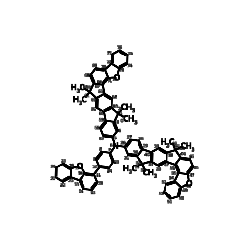 CC1(C)c2cc(N(c3ccc(-c4cccc5c4oc4ccccc45)cc3)c3ccc4c(c3)C(C)(C)c3cc5c(cc3-4)C(C)(C)c3ccc4oc6ccccc6c4c3-5)ccc2-c2cc3c(cc21)-c1c(ccc2c1oc1ccccc12)C3(C)C